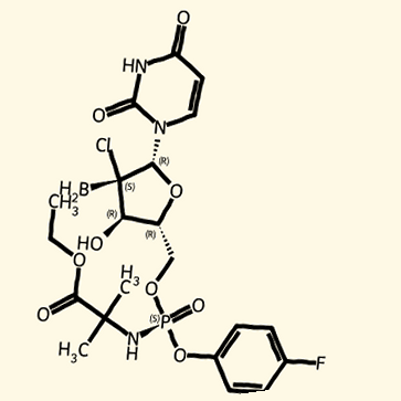 B[C@]1(Cl)[C@H](O)[C@@H](CO[P@@](=O)(NC(C)(C)C(=O)OCC)Oc2ccc(F)cc2)O[C@H]1n1ccc(=O)[nH]c1=O